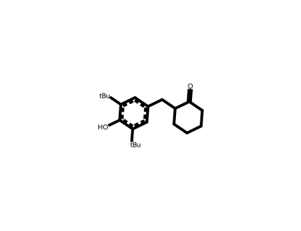 CC(C)(C)c1cc(CC2CCCCC2=O)cc(C(C)(C)C)c1O